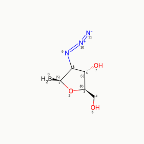 B[C@@H]1O[C@H](CO)[C@@H](O)C1N=[N+]=[N-]